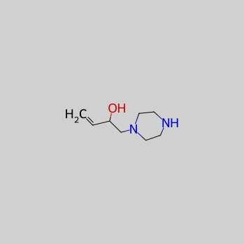 C=CC(O)CN1CCNCC1